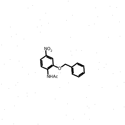 CC(=O)Nc1ccc([N+](=O)[O-])cc1OCc1ccccc1